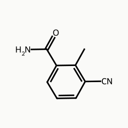 Cc1c(C#N)cccc1C(N)=O